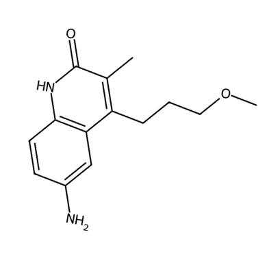 COCCCc1c(C)c(=O)[nH]c2ccc(N)cc12